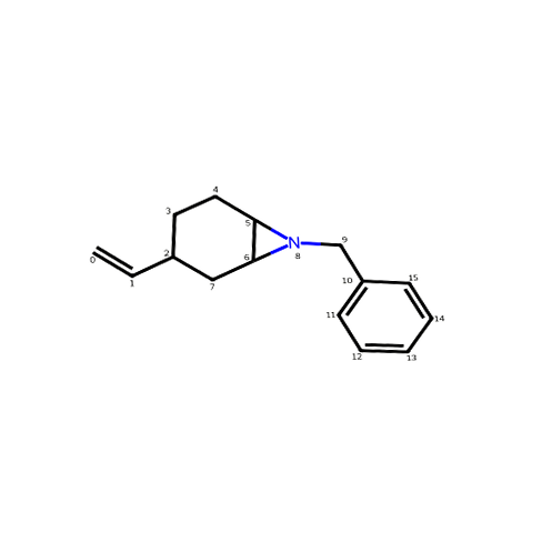 C=CC1CCC2C(C1)N2Cc1ccccc1